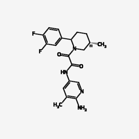 Cc1cc(NC(=O)C(=O)N2C[C@@H](C)CCC2c2ccc(F)c(F)c2)cnc1N